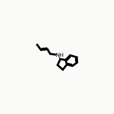 C/C=C/CN[C@H]1CCc2ccccc21